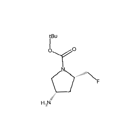 CC(C)(C)OC(=O)N1C[C@@H](N)C[C@H]1CF